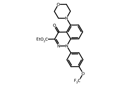 CCOC(=O)c1nn(-c2ccc(OC(F)(F)F)cc2)c2cccc(N3CCOCC3)c2c1=O